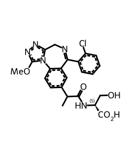 COc1nnc2n1-c1ccc(C(C)C(=O)N[C@@H](CO)C(=O)O)cc1C(c1ccccc1Cl)=NC2